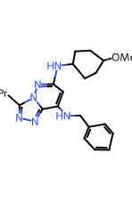 COC1CCC(Nc2cc(NCc3ccccc3)c3nnc(C(C)C)n3n2)CC1